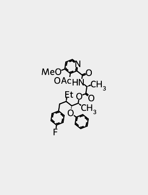 CC[C@H](Cc1ccc(F)cc1)[C@@H](Oc1ccccc1)[C@H](C)OC(=O)[C@H](C)NC(=O)c1nccc(OC)c1OC(C)=O